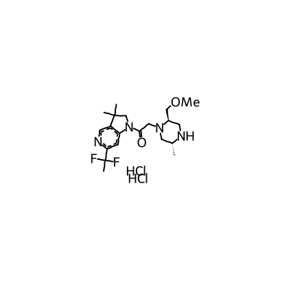 COC[C@H]1CN[C@H](C)CN1CC(=O)N1CC(C)(C)c2cnc(C(C)(F)F)cc21.Cl.Cl